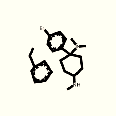 CCc1ccccc1.CNC1CCC(c2ccc(Br)cc2)(N(C)C)CC1